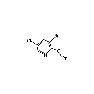 CC(C)Oc1ncc(Cl)cc1Br